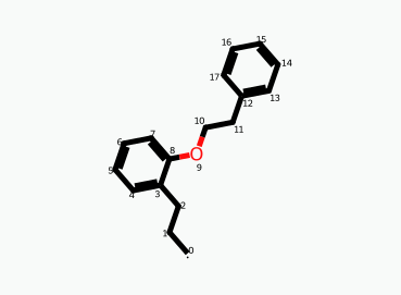 [CH2]CCc1ccccc1OCCc1ccccc1